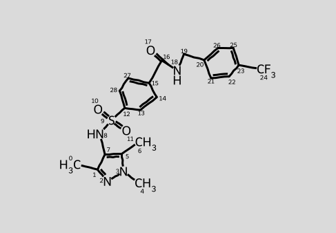 Cc1nn(C)c(C)c1NS(=O)(=O)c1ccc(C(=O)NCc2ccc(C(F)(F)F)cc2)cc1